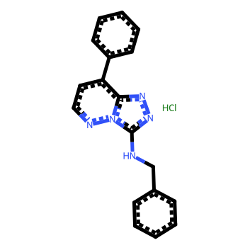 Cl.c1ccc(CNc2nnc3c(-c4ccccc4)ccnn23)cc1